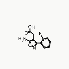 Nc1onc(-c2ccccc2F)c1CC(=O)O